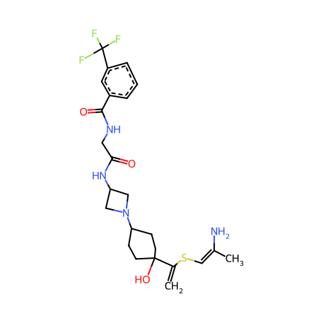 C=C(S/C=C(/C)N)C1(O)CCC(N2CC(NC(=O)CNC(=O)c3cccc(C(F)(F)F)c3)C2)CC1